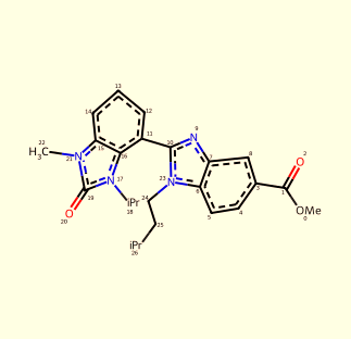 COC(=O)c1ccc2c(c1)nc(-c1cccc3c1n(C(C)C)c(=O)n3C)n2CCC(C)C